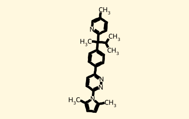 Cc1ccc(C(C)(c2ccc(-c3ccc(-n4c(C)ccc4C)nn3)cc2)C(C)C)nc1